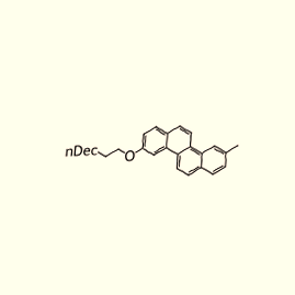 CCCCCCCCCCCCOc1ccc2ccc3c4cc(C)ccc4ccc3c2c1